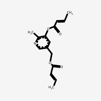 CC=CC(=O)OCc1cnc(C)c(OC(=O)C=CC)c1